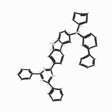 c1ccc(-c2cccc(N(c3ccccc3)c3ccc4oc5cc(-c6nc(-c7ccccc7)nc(-c7ccccc7)n6)ccc5c4c3)c2)cc1